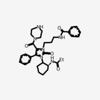 CCC(=O)N[C@H]1CCCCC1n1c(-c2ccccc2)c(C(=O)N2CCNCC2)n(CCCNC(=O)c2ccccc2)c1=O